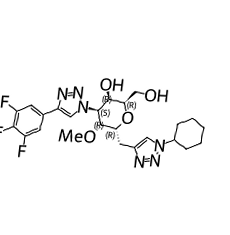 CO[C@@H]1[C@@H](n2cc(-c3cc(F)c(F)c(F)c3)nn2)[C@@H](O)[C@@H](CO)O[C@@H]1Cc1cn(C2CCCCC2)nn1